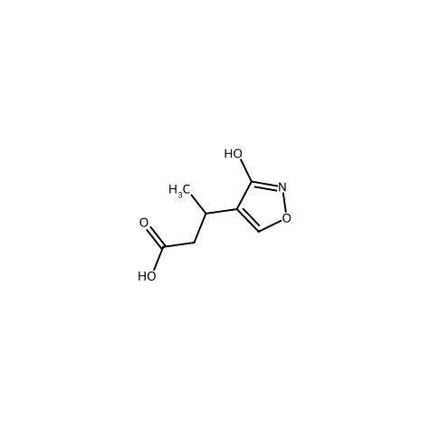 CC(CC(=O)O)c1conc1O